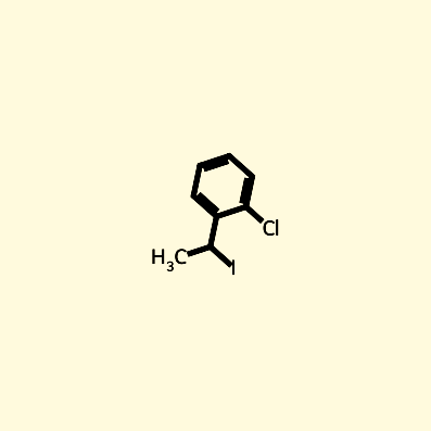 CC(I)c1ccccc1Cl